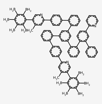 Bc1c(B)c(B)c(-c2cnc(-c3ccc(-c4ccccc4-c4cc(-c5ccccc5-c5ccc(-c6cc(C)c(-c7c(B)c(B)c(B)c(B)c7B)cn6)cc5)cc(-c5ccccc5-c5ccc(-c6ccccn6)cc5-c5ccccc5)c4)cc3)cc2C)c(B)c1B